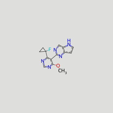 COc1ncnc(C2(F)CC2)c1-c1ncc2[nH]ccc2n1